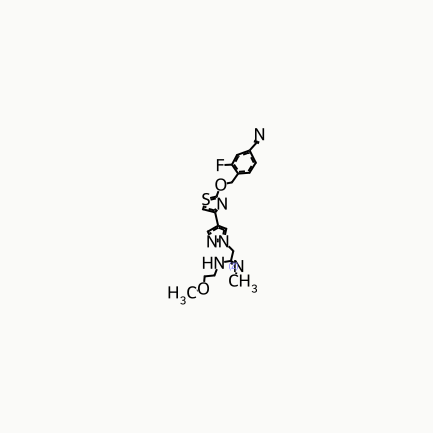 C/N=C(/Cn1cc(-c2csc(OCc3ccc(C#N)cc3F)n2)cn1)NCCOC